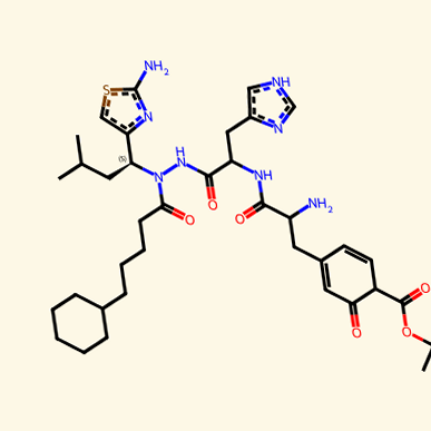 CC(C)C[C@@H](c1csc(N)n1)N(NC(=O)C(Cc1c[nH]cn1)NC(=O)C(N)CC1=CC(=O)C(C(=O)OC(C)(C)C)C=C1)C(=O)CCCCC1CCCCC1